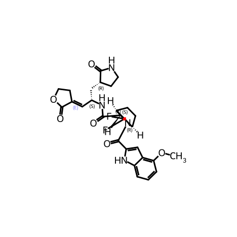 COc1cccc2[nH]c(C(=O)N3[C@@H]4CC[C@H]([C@H]3C(=O)N[C@H](/C=C3\CCOC3=O)C[C@H]3CCNC3=O)C(F)(F)C4)cc12